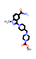 Cn1nc(N2CCC(CN3CCN(C(=O)OC(C)(C)C)CC3)CC2)c2cc(C(N)=O)ccc21